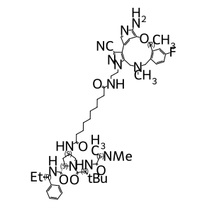 CC[C@@H](NC(=O)[C@@H]1C[C@H](NC(=O)CCCCCCCCC(=O)NCCn2nc(C#N)c3c2CN(C)Cc2ccc(F)cc2[C@@H](C)Oc2cc-3cnc2N)CN1C(=O)[C@@H](NC(=O)[C@H](C)NC)C(C)(C)C)c1ccccc1